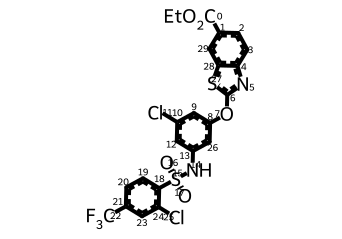 CCOC(=O)c1ccc2nc(Oc3cc(Cl)cc(NS(=O)(=O)c4ccc(C(F)(F)F)cc4Cl)c3)sc2c1